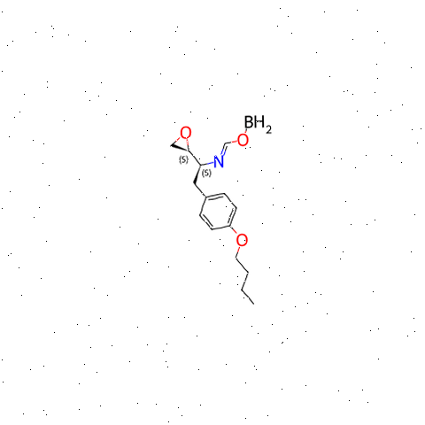 BOC=N[C@@H](Cc1ccc(OCCCC)cc1)[C@H]1CO1